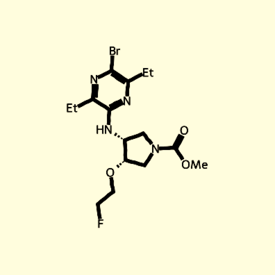 CCc1nc(N[C@@H]2CN(C(=O)OC)C[C@@H]2OCCF)c(CC)nc1Br